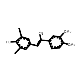 COc1ccc(C(C#N)=Cc2cc(C)c(O)c(C)c2)cc1OC